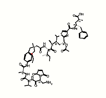 CCCC[N+](C)(CC(=O)N[C@H](C(=O)N(C)[C@H](C[C@@H](OC(C)=O)c1nc(C(=O)N[C@@H](Cc2ccccc2)C[C@H](C)C(=O)O)cs1)C(C)C)[C@@H](C)CC)Cc1ccc(NC(=O)[C@H](C)NC(=O)[C@@H](NC(=O)[C@H](CN)N2C(=O)C=CC2=O)C(C)C)cc1